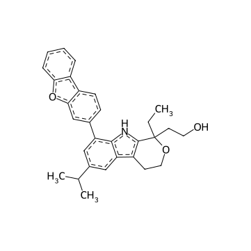 CCC1(CCO)OCCc2c1[nH]c1c(-c3ccc4c(c3)oc3ccccc34)cc(C(C)C)cc21